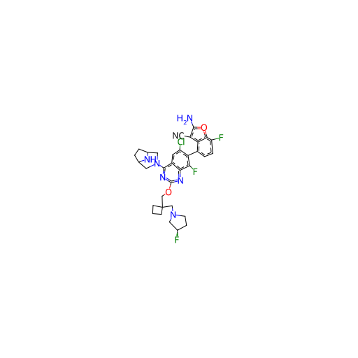 N#Cc1c(N)oc2c(F)ccc(-c3c(Cl)cc4c(N5CC6CCC(C5)N6)nc(OCC5(CN6CC[C@@H](F)C6)CCC5)nc4c3F)c12